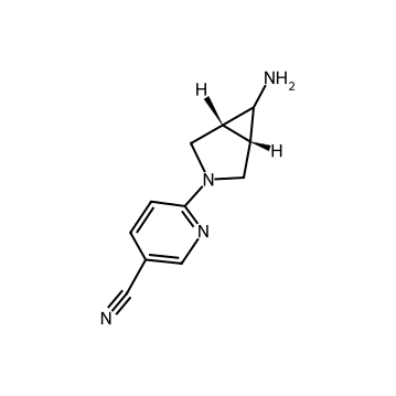 N#Cc1ccc(N2C[C@@H]3C(N)[C@@H]3C2)nc1